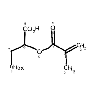 C=C(C)C(=O)OC(CCCCCCC)C(=O)O